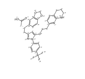 O=C(O)C[C@@H](Cc1cc(OCCc2ccc3c(n2)NCCC3)n(-c2ccc(C(F)(F)F)cc2)n1)c1ccc2c(c1)OCO2